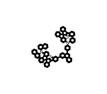 c1ccc(N(c2ccc(-c3cc4ccccc4c4cc(-c5ccc6c7c(sc6c5)C5(c6ccccc6-c6c(N(c8cccc9ccccc89)c8cccc9ccccc89)cccc65)c5ccccc5-7)ccc34)cc2)c2ccc3c(c2)C2(c4ccccc4-3)c3ccccc3-c3c2sc2ccccc32)cc1